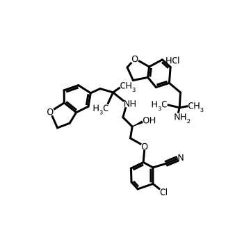 CC(C)(Cc1ccc2c(c1)CCO2)NC[C@@H](O)COc1cccc(Cl)c1C#N.CC(C)(N)Cc1ccc2c(c1)CCO2.Cl